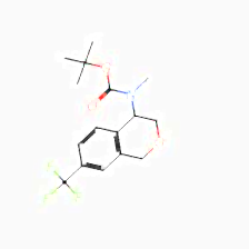 CN(C(=O)OC(C)(C)C)C1COCc2cc(C(F)(F)F)ccc21